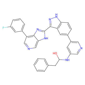 OC(Cc1ccccc1)Nc1cncc(-c2ccc3[nH]nc(-c4nc5c(-c6cccc(F)c6)cncc5[nH]4)c3c2)c1